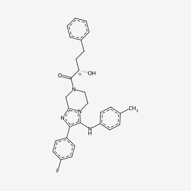 Cc1ccc(Nc2c(-c3ccc(F)cc3)nc3n2CCN(C(=O)[C@@H](O)CCc2ccccc2)C3)cc1